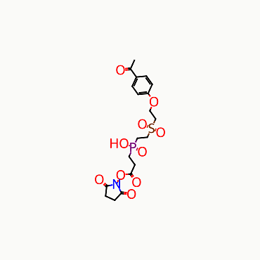 CC(=O)c1ccc(OCCS(=O)(=O)CCP(=O)(O)CCC(=O)ON2C(=O)CCC2=O)cc1